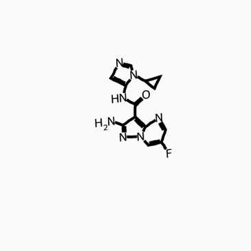 Nc1nn2cc(F)cnc2c1C(=O)Nc1cncn1C1CC1